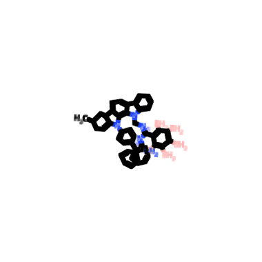 Bc1c(B)c(B)c(C(/N=C(\N)c2ccccc2)=N/Cn2c3ccccc3c3ccc4c(c32)N(c2ccc(-c3ccccc3)cc2)C2=CCC(C)CC24)c(B)c1B